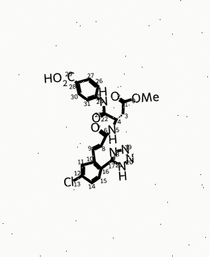 COC(=O)C[C@H](NC(=O)/C=C/c1cc(Cl)ccc1-c1nnn[nH]1)C(=O)Nc1ccc(C(=O)O)cc1